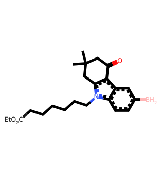 Bc1ccc2c(c1)c1c(n2CCCCCCC(=O)OCC)CC(C)(C)CC1=O